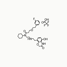 O=C(O)C(F)(F)F.O=C1COc2c(CCNCCN(C(=O)CCOCCc3cccc(F)c3)C3CCCCC3)ccc(O)c2N1